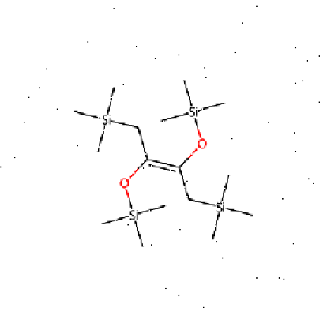 C[Si](C)(C)CC(O[Si](C)(C)C)=C(C[Si](C)(C)C)O[Si](C)(C)C